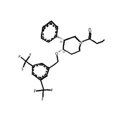 CCC(=O)N1CC[C@H](OCc2cc(C(F)(F)F)cc(C(F)(F)F)c2)[C@H](c2ccccc2)C1